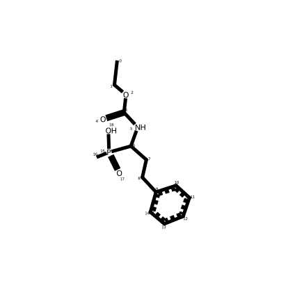 CCOC(=O)NC(CCc1ccccc1)P(C)(=O)O